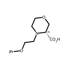 CC(C)OCCN1CCOC[C@@H]1C(=O)O